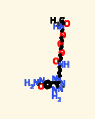 CC(=O)NCCOCCOCCOCCC(=O)NCCCCn1nc(-c2ccc3oc(N)nc3c2)c2c(N)ncnc21